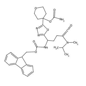 CC(C)N(C)C(=C=O)CCC(NC(=O)OCC1c2ccccc2-c2ccccc21)c1nnc(C2(OC(N)=O)CCOCC2)o1